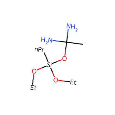 CCC[Si](OCC)(OCC)OC(C)(N)N